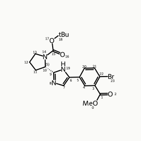 COC(=O)c1cc(-c2cnc([C@@H]3CCCN3C(=O)OC(C)(C)C)[nH]2)ccc1Br